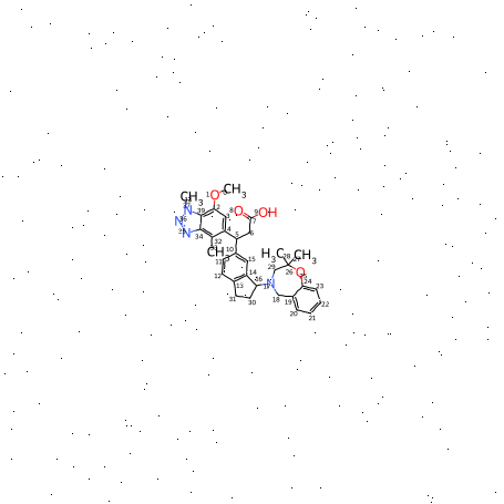 COc1cc(C(CC(=O)O)c2ccc3c(c2)C(N2Cc4ccccc4OC(C)(C)C2)CC3)c(C)c2nnn(C)c12